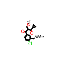 CCOC=C(C(=O)c1ccc(Cl)c(CSC)c1)C(=O)C1CC1